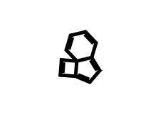 [C]1=C2C=CC=CC23C=CC3=C1